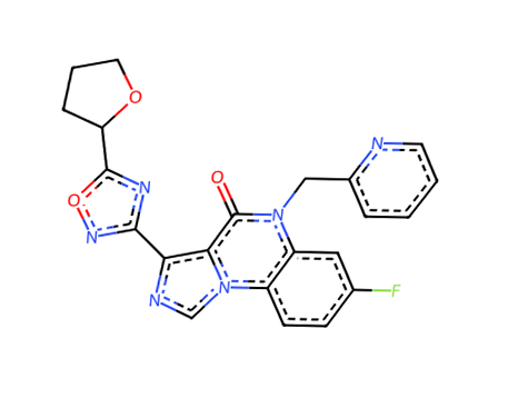 O=c1c2c(-c3noc(C4CCCO4)n3)ncn2c2ccc(F)cc2n1Cc1ccccn1